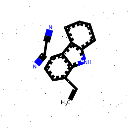 C=Cc1cccc2c1[nH]c1ccccc12.N#CC#N